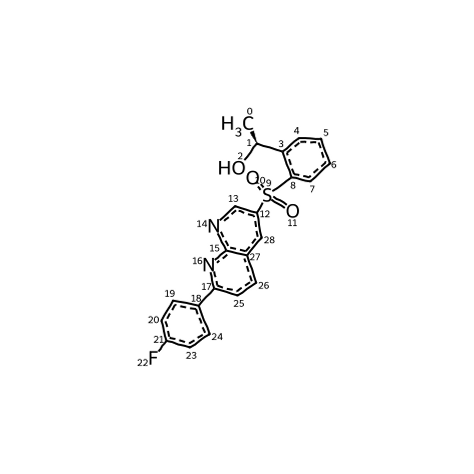 C[C@H](O)c1ccccc1S(=O)(=O)c1cnc2nc(-c3ccc(F)cc3)ccc2c1